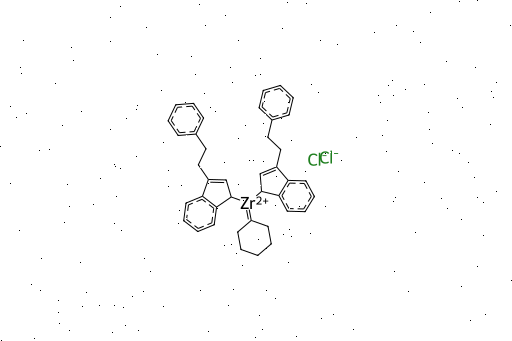 C1=C(CCc2ccccc2)c2ccccc2[CH]1[Zr+2](=[C]1CCCCC1)[CH]1C=C(CCc2ccccc2)c2ccccc21.[Cl-].[Cl-]